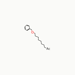 CC(=O)CCCCCCCCOCc1ccccc1